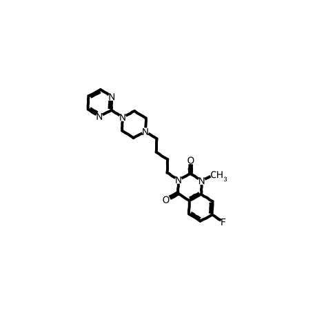 Cn1c(=O)n(CCCCN2CCN(c3ncccn3)CC2)c(=O)c2ccc(F)cc21